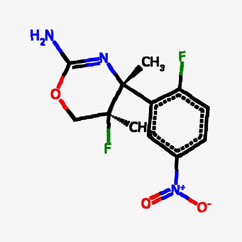 C[C@]1(F)COC(N)=N[C@]1(C)c1cc([N+](=O)[O-])ccc1F